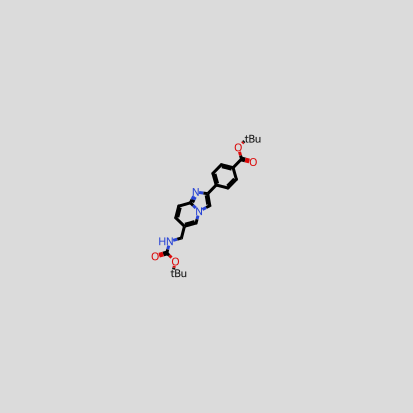 CC(C)(C)OC(=O)NCc1ccc2nc(-c3ccc(C(=O)OC(C)(C)C)cc3)cn2c1